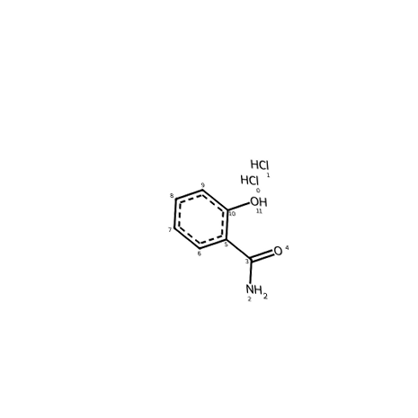 Cl.Cl.NC(=O)c1ccccc1O